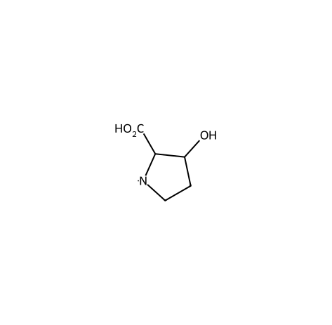 O=C(O)C1[N]CCC1O